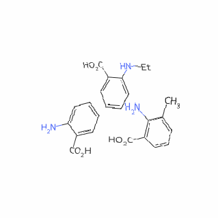 CCNc1ccccc1C(=O)O.Cc1cccc(C(=O)O)c1N.Nc1ccccc1C(=O)O